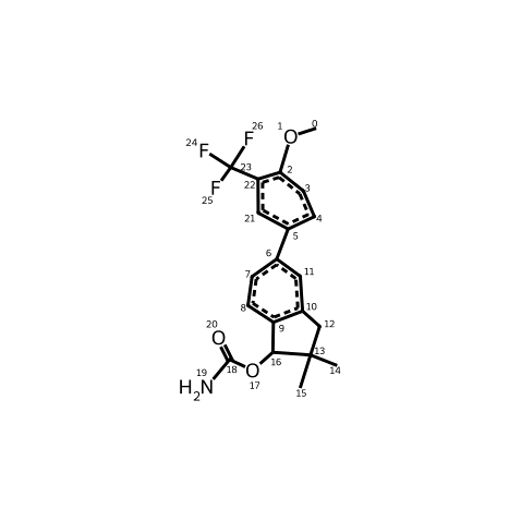 COc1ccc(-c2ccc3c(c2)CC(C)(C)C3OC(N)=O)cc1C(F)(F)F